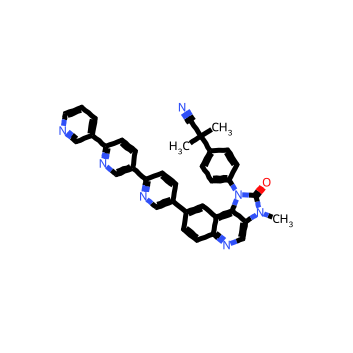 Cn1c(=O)n(-c2ccc(C(C)(C)C#N)cc2)c2c3cc(-c4ccc(-c5ccc(-c6cccnc6)nc5)nc4)ccc3ncc21